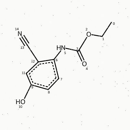 CCOC(=O)Nc1ccc(O)cc1C#N